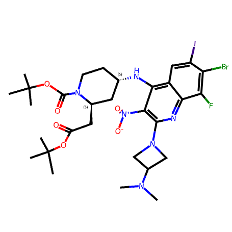 CN(C)C1CN(c2nc3c(F)c(Br)c(I)cc3c(N[C@H]3CCN(C(=O)OC(C)(C)C)[C@H](CC(=O)OC(C)(C)C)C3)c2[N+](=O)[O-])C1